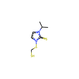 CC(C)n1ccn(SCS)c1=S